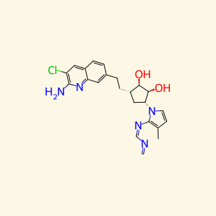 C=N/C=N\c1c(C)ccn1[C@@H]1C[C@H](CCc2ccc3cc(Cl)c(N)nc3c2)[C@@H](O)[C@H]1O